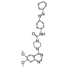 COc1cc2ncnc(N3CCN(C(=O)Nc4ccc(/N=N/c5ccccc5)cc4)CC3)c2cc1OC